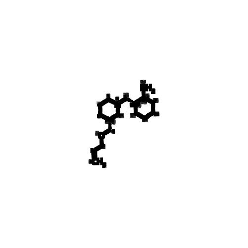 C=CCOC[C@@H]1CCCN(C[C@H]2CCCC[C@@H]2N)C1